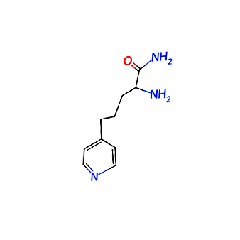 NC(=O)C(N)CCCc1ccncc1